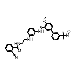 COc1ccc(-c2cccc(C(C)(C)N=O)c2)cc1SNc1cccc(NCCNC(=O)c2ccccc2C#N)c1